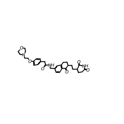 O=C(Cc1ccc(OCCN2CCOCC2)cc1)NCc1ccc2c(c1)CCC(CCC1CCC(=O)NC1=O)C2=O